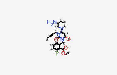 CC#CCn1c(N2CCC[C@@H](N)C2)cc(=O)n(Cc2cccc(F)c2C(=O)OC)c1=O